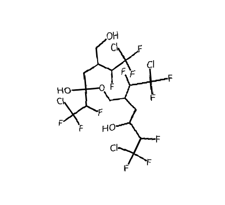 OCC(CC(O)(OCC(CC(O)C(F)C(F)(F)Cl)C(F)C(F)(F)Cl)C(F)C(F)(F)Cl)C(F)C(F)(F)Cl